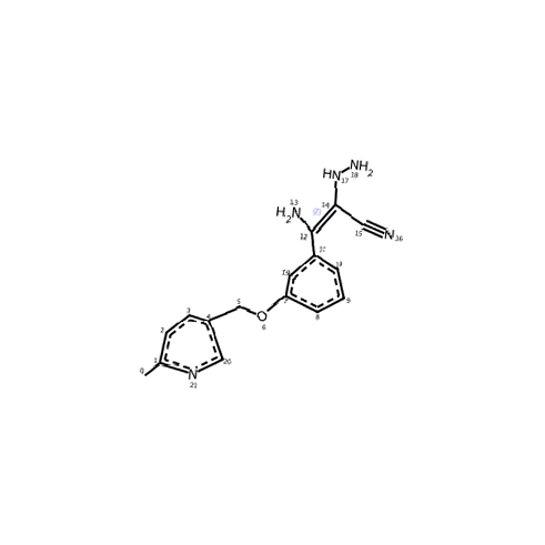 Cc1ccc(COc2cccc(/C(N)=C(\C#N)NN)c2)cn1